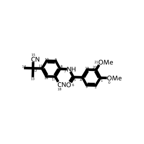 COc1ccc(C(=O)Nc2ccc(C(C)(C)C#N)cc2C#N)cc1OC